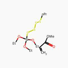 C=CC(=O)OC.CCCSSSS[Si](OCC)(OCC)OCC